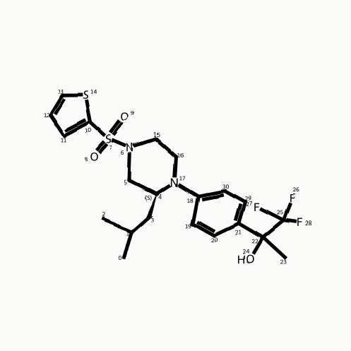 CC(C)C[C@H]1CN(S(=O)(=O)c2cccs2)CCN1c1ccc(C(C)(O)C(F)(F)F)cc1